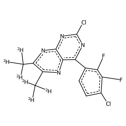 [2H]C([2H])([2H])c1nc2nc(Cl)nc(-c3ccc(Cl)c(F)c3F)c2nc1C([2H])([2H])[2H]